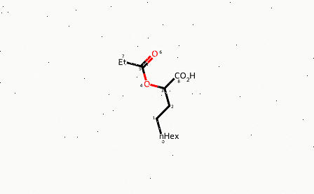 CCCCCCCCC(OC(=O)CC)C(=O)O